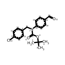 CC(C)(C)OC(=O)N(Cc1ccc(Cl)cc1)c1ccc(C=O)cc1